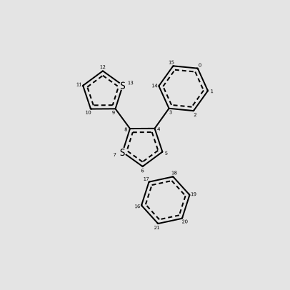 c1ccc(-c2ccsc2-c2cccs2)cc1.c1ccccc1